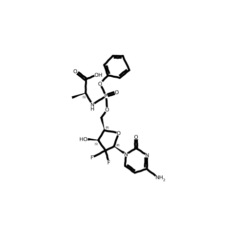 C[C@H](NP(=O)(OC[C@H]1O[C@@H](n2ccc(N)nc2=O)C(F)(F)[C@H]1O)Oc1ccccc1)C(=O)O